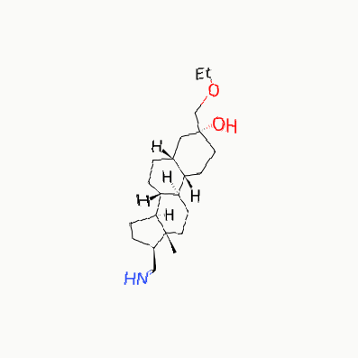 CCOC[C@@]1(O)CC[C@H]2[C@H](CC[C@@H]3[C@@H]2CC[C@]2(C)[C@@H](C=N)CC[C@@H]32)C1